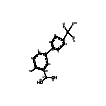 Cc1cnc(-c2ccc(C(F)(F)F)cc2)cc1B(O)O